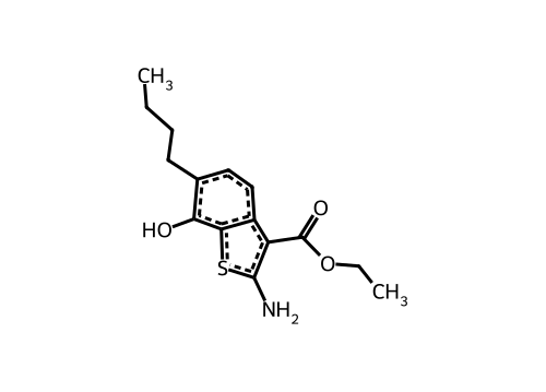 CCCCc1ccc2c(C(=O)OCC)c(N)sc2c1O